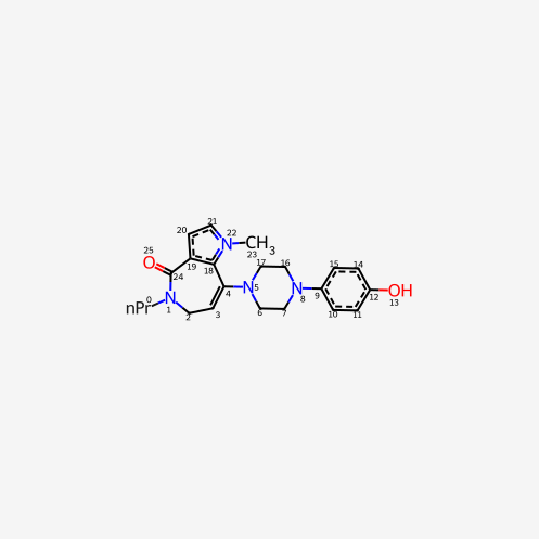 CCCN1CC=C(N2CCN(c3ccc(O)cc3)CC2)c2c(ccn2C)C1=O